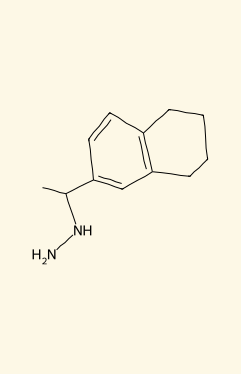 CC(NN)c1ccc2c(c1)CCCC2